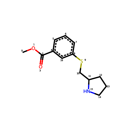 COC(=O)c1cccc(SCC2CCCN2)c1